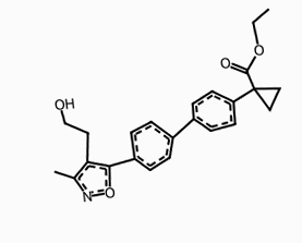 CCOC(=O)C1(c2ccc(-c3ccc(-c4onc(C)c4CCO)cc3)cc2)CC1